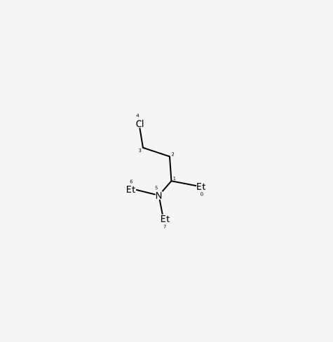 CCC(CCCl)N(CC)CC